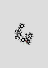 C[C@H]1CN(Cc2ccc(C#N)c(NC(c3ccccc3)c3ccccc3)c2)C(=O)[C@H](C)N1C(=O)OCc1ccccc1